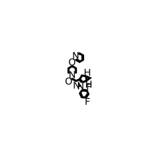 O=C(c1nn(-c2ccc(F)cc2F)c2c1C[C@H]1C[C@@H]21)N1CCC(Oc2ccccn2)CC1